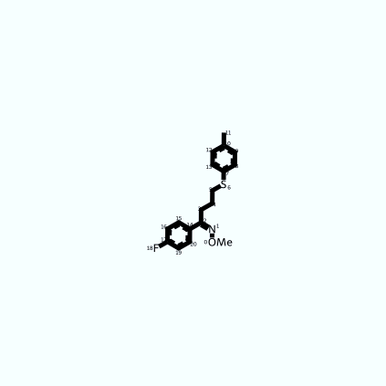 CON=C(CCCSc1ccc(C)cc1)c1ccc(F)cc1